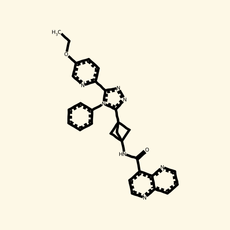 CCOc1ccc(-c2nnc(C34CC(NC(=O)c5ccnc6cccnc56)(C3)C4)n2-c2ccccc2)nc1